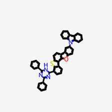 c1ccc(C2=NC(c3cccc4c3sc3ccc5c6cc(-n7c8ccccc8c8ccccc87)ccc6oc5c34)NC(c3ccccc3)=N2)cc1